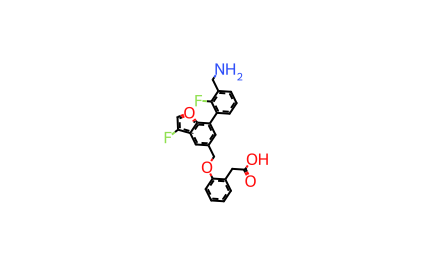 NCc1cccc(-c2cc(COc3ccccc3CC(=O)O)cc3c(F)coc23)c1F